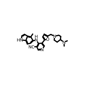 Cc1c(Nc2c(C#N)cncc2-c2ccc(CN3CCC(N(C)C)CC3)o2)ccc2[nH]ccc12